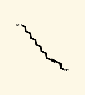 CCCC=CC#CCCCCCCCCCCOC(C)=O